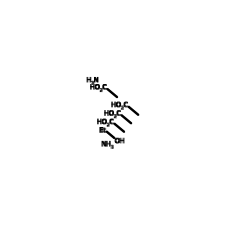 CC(=O)O.CC(=O)O.CC(=O)O.CC(=O)O.CCO.N.N